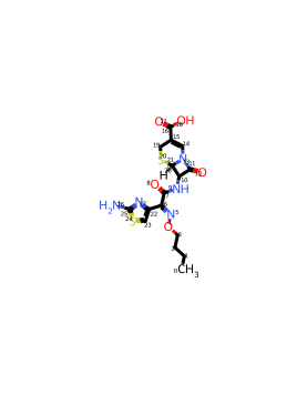 CCCCON=C(C(=O)NC1C(=O)N2C=C(C(=O)O)CS[C@H]12)c1csc(N)n1